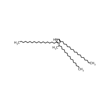 CCCCCCCCCCCCCCCCCc1c[nH]c(CCCCCCCCCCCCCCCCC)[n+]1C(C)CCCCCCCCCCCCCC